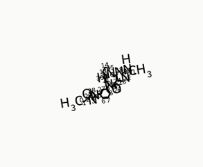 CCC1=NN(c2cccc(N3C[C@@H]4CCCN4c4nc(NC)ncc4C3=O)c2)CO1